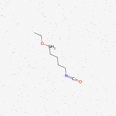 CCO[SiH2]CCCCN=C=O